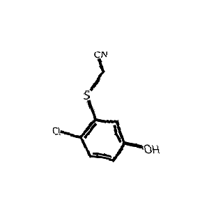 N#CCSc1cc(O)ccc1Cl